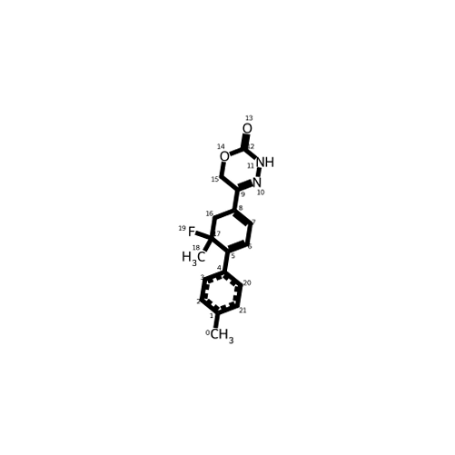 Cc1ccc(C2=CC=C(C3=NNC(=O)OC3)CC2(C)F)cc1